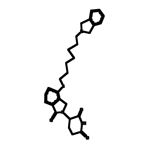 O=C1CCC(N2Cc3c(SCCCCCCCN4Cc5ccccc5C4)cccc3C2=O)C(=O)N1